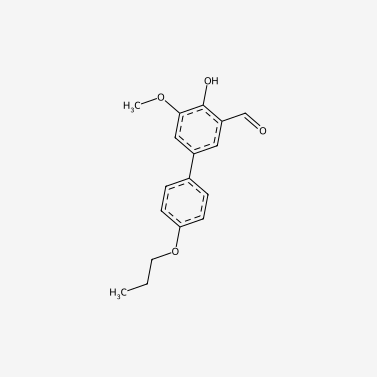 CCCOc1ccc(-c2cc(C=O)c(O)c(OC)c2)cc1